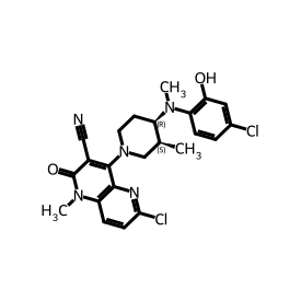 C[C@H]1CN(c2c(C#N)c(=O)n(C)c3ccc(Cl)nc23)CC[C@H]1N(C)c1ccc(Cl)cc1O